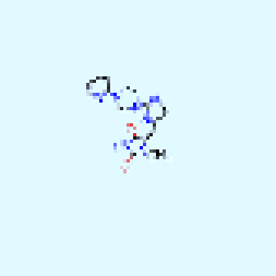 CN1C(=O)NC(=O)/C1=C\c1ccnc(N2CCN(c3ccccn3)CC2)n1